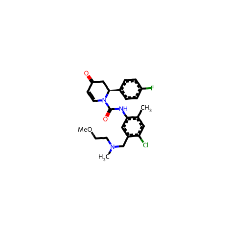 COCCN(C)Cc1cc(NC(=O)N2C=CC(=O)C[C@H]2c2ccc(F)cc2)c(C)cc1Cl